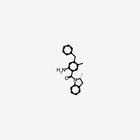 Cc1cc(C(=O)N2c3ccccc3C[C@H]2C)c(N)cc1Cc1ccccc1